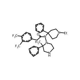 CCN1CCC(c2ccccc2)(N(C(=O)Cc2ccc(C(F)(F)F)c(C(F)(F)F)c2)N2CCNCC2(C)c2ccccc2)CC1